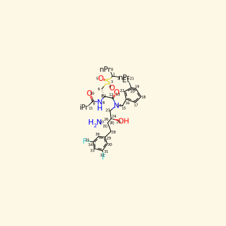 CCCC(CCC)S(=O)(=O)C[C@@H](NC(=O)C(C)C)C(=O)N(Cc1cccc(CC)c1)C[C@@H](O)[C@@H](N)Cc1cc(F)cc(F)c1